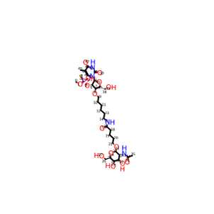 COP(O)(=S)O[C@H]1C(OCCCCCCNC(=O)CCCCO[C@@H]2O[C@H](CO)[C@H](O)[C@H](O)[C@H]2NC(C)=O)[C@@H](CO)O[C@H]1n1cc(C)c(=O)[nH]c1=O